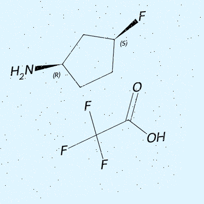 N[C@@H]1CC[C@H](F)C1.O=C(O)C(F)(F)F